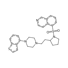 O=S(=O)(c1cccc2cnccc12)N1CCCC1CCN1CCN(c2cccc3sccc23)CC1